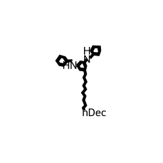 CCCCCCCCCCCCCCCCCCCCc1cc(NCc2ccccc2)cc(NCc2ccccc2)c1